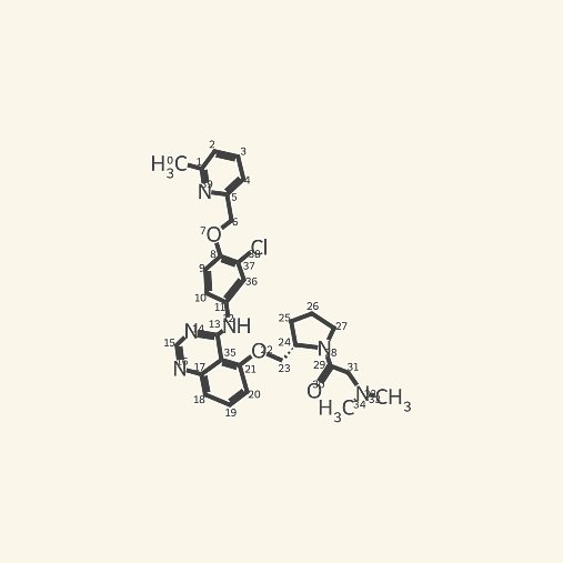 Cc1cccc(COc2ccc(Nc3ncnc4cccc(OC[C@@H]5CCCN5C(=O)CN(C)C)c34)cc2Cl)n1